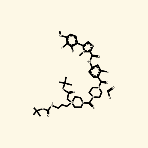 COc1ccc(-c2cnc(C(=O)Nc3ccc(C(=O)N4CCN(C(=O)N5CC[N+](CCCNC(=O)OC(C)(C)C)(CC(=O)OC(C)(C)C)CC5)CC4)c(Cl)c3)n2C)c(F)c1F.O=C[O-]